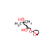 CC(C)(O)CC[C@@H](O)COC1CCCCO1